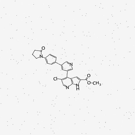 COC(=O)c1cc2c(-c3cncc(-c4ccc(N5CCCC5=O)cc4)c3)c(Cl)cnc2[nH]1